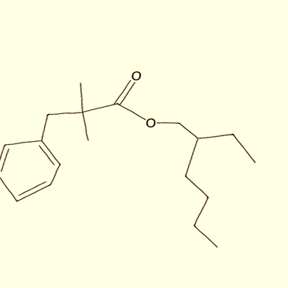 CCCCC(CC)COC(=O)C(C)(C)Cc1ccccc1